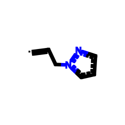 [CH]=CCn1cccn1